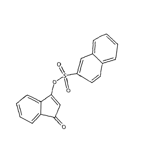 O=C1C=C(OS(=O)(=O)c2ccc3ccccc3c2)c2ccccc21